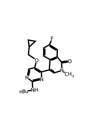 CCCCNc1ncc(OCC2CC2)c(-c2cn(C)c(=O)c3cc(F)ccc23)n1